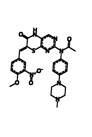 COc1ccc(C=C2Sc3nc(N(C(C)=O)c4ccc(N5CCN(C)CC5)cc4)ncc3NC2=O)cc1[N+](=O)[O-]